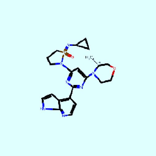 C[C@@H]1COCCN1c1cc(N2CCCS2(=O)=NC2CC2)nc(-c2ccnc3[nH]ccc23)n1